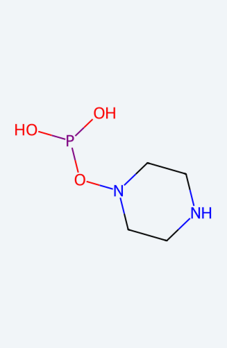 OP(O)ON1CCNCC1